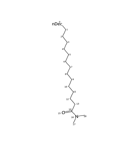 CCCCCCCCCCCCCCCCCCCCCCCC(=O)N(C)C